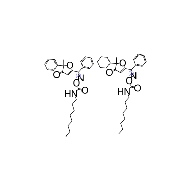 CCCCCCCCNC(=O)O/N=C(\C1=CC(=O)C(C)(C2CCCCC2)O1)c1ccccc1.CCCCCCCCNC(=O)O/N=C(\C1=CC(=O)C(C)(c2ccccc2)O1)c1ccccc1